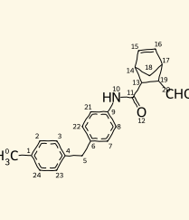 Cc1ccc(Cc2ccc(NC(=O)C3C4C=CC(C4)C3C=O)cc2)cc1